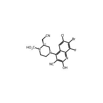 N#CC[C@H]1CN(c2c(C#N)c(O)nc3c(F)c(Br)c(Cl)cc23)CCN1C(=O)O